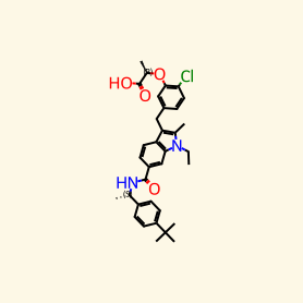 CCn1c(C)c(Cc2ccc(Cl)c(O[C@H](C)C(=O)O)c2)c2ccc(C(=O)N[C@@H](C)c3ccc(C(C)(C)C)cc3)cc21